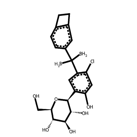 BC(B)(c1ccc2c(c1)CC2)c1cc([C@@H]2O[C@H](CO)[C@@H](O)[C@H](O)[C@H]2O)c(O)cc1Cl